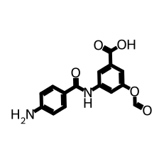 Nc1ccc(C(=O)Nc2cc(OC=O)cc(C(=O)O)c2)cc1